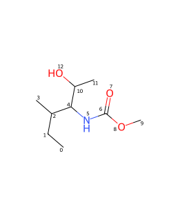 CCC(C)C(NC(=O)OC)C(C)O